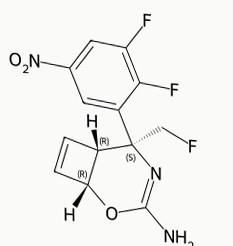 NC1=N[C@](CF)(c2cc([N+](=O)[O-])cc(F)c2F)[C@H]2C=C[C@H]2O1